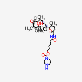 CO[C@H]([C@@H](C)[C@H]1O[C@]1(C)C[C@H](C)/C=C/C=C(\C)[C@H]1O[C@@H](CNC(=O)CCCCCOC(=O)N2CCCNCC2)CC[C@@H]1C)[C@@H](C)O